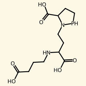 O=C(O)CCCNC(CCN1PCCC1C(=O)O)C(=O)O